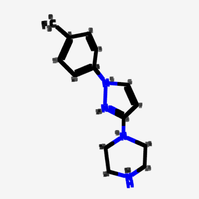 FC(F)(F)c1ccc(-n2ccc(N3CCNCC3)n2)cc1